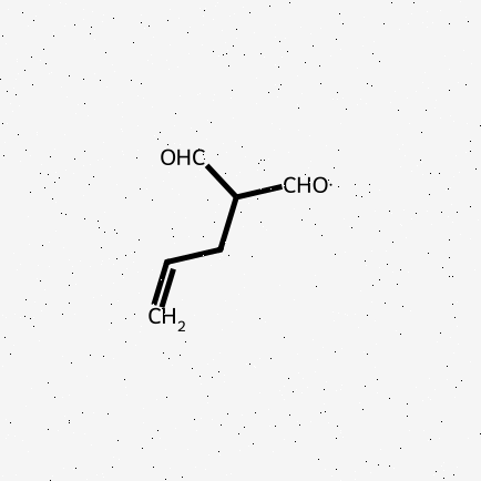 C=CCC([C]=O)C=O